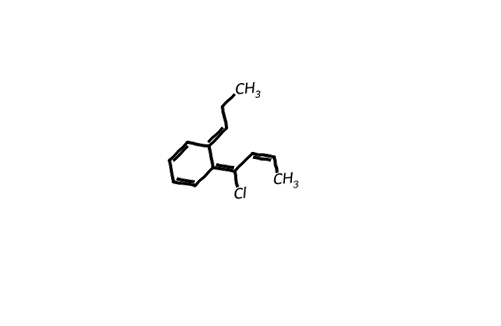 C\C=C/C(Cl)=c1/cccc/c1=C\CC